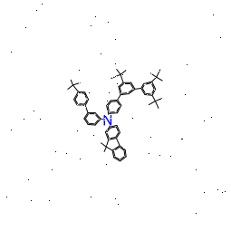 CC(C)(C)c1ccc(-c2cccc(N(c3ccc(-c4cc(-c5cc(C(C)(C)C)cc(C(C)(C)C)c5)cc(C(C)(C)C)c4)cc3)c3ccc4c(c3)C(C)(C)c3ccccc3-4)c2)cc1